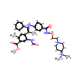 COC(=O)c1cc(NC=O)c(/C(C)=C(/Nc2ccc(C(=O)NOCCN3CCC(N(C)C)CC3)cc2)c2ccccc2)cc1C